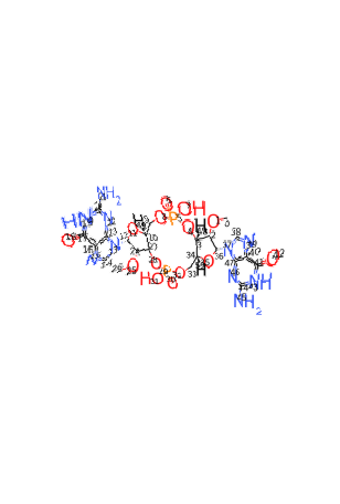 COC1[C@H]2OP(=O)(O)OC[C@H]3O[C@@H](n4cnc5c(=O)[nH]c(N)nc54)[C@@H](OC)C3OP(=O)(O)OC[C@H]2O[C@H]1n1cnc2c(=O)[nH]c(N)nc21